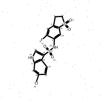 O=S1(=O)CCc2cc(F)c(NS(=O)(=O)c3c[nH]c4cc(Cl)ccc34)cc21